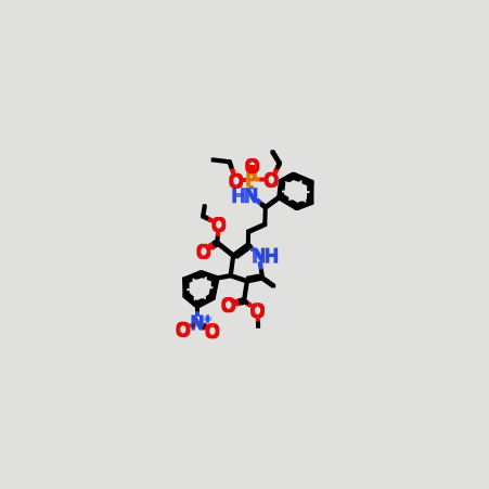 CCOC(=O)C1=C(CCC(NP(=O)(OCC)OCC)c2ccccc2)NC(C)=C(C(=O)OC)C1c1cccc([N+](=O)[O-])c1